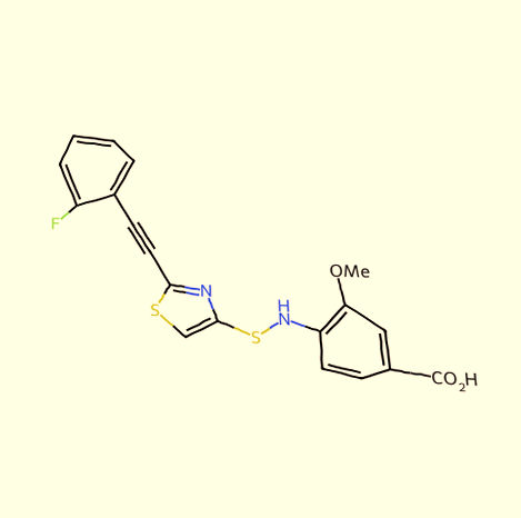 COc1cc(C(=O)O)ccc1NSc1csc(C#Cc2ccccc2F)n1